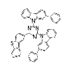 c1ccc(-c2ccc3c4ccccc4n(-c4nc(-c5ccc6sc7ccccc7c6c5)nc(-n5c6ccccc6c6ccc(-c7ccccc7)cc65)n4)c3c2)cc1